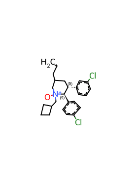 C=CCC1C[C@H](c2cccc(Cl)c2)[C@@H](c2ccc(Cl)cc2)[N+]([O-])(CC2CCC2)C1